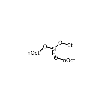 CCCCCCCCO[SiH](OCC)OCCCCCCCC